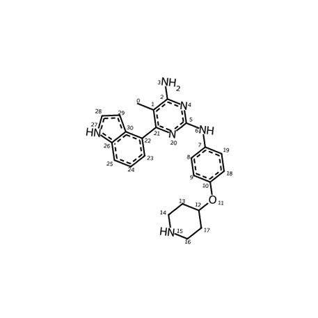 Cc1c(N)nc(Nc2ccc(OC3CCNCC3)cc2)nc1-c1cccc2[nH]ccc12